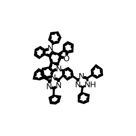 c1ccc(C2=NC(c3ccc(-n4c5ccccc5c5c6c7ccccc7n(-c7ccccc7)c6c6c7ccccc7oc6c54)c(-c4nc(-c5ccccc5)nc(-c5ccccc5)n4)c3)=NC(c3ccccc3)N2)cc1